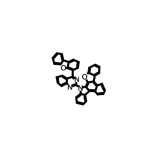 c1ccc2c(-c3cccc4c3oc3ccccc34)nc(-n3c4ccccc4c4c5ccccc5c5c6ccccc6oc5c43)nc2c1